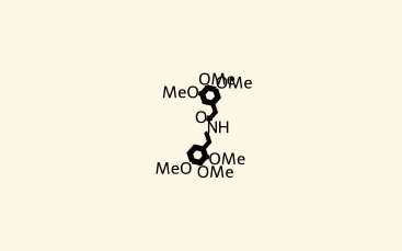 COc1cc(CC(=O)NCCc2ccc(OC)c(OC)c2OC)cc(OC)c1OC